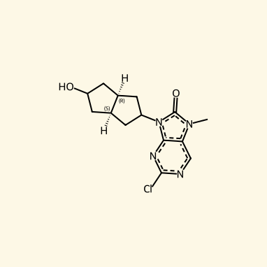 Cn1c(=O)n(C2C[C@H]3CC(O)C[C@H]3C2)c2nc(Cl)ncc21